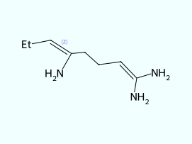 CC/C=C(\N)CCC=C(N)N